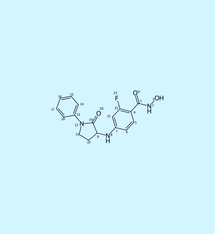 O=C(NO)c1ccc(NC2CCN(c3ccccc3)C2=O)cc1F